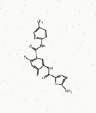 Nc1ncc(C(=O)Nc2cc(C(=O)Nc3ccc(C(F)(F)F)cn3)c(F)cc2F)s1